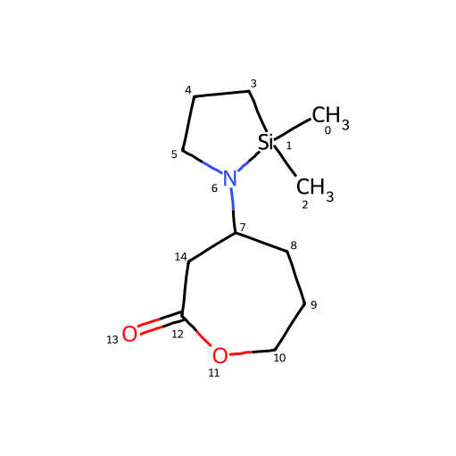 C[Si]1(C)CCCN1C1CCCOC(=O)C1